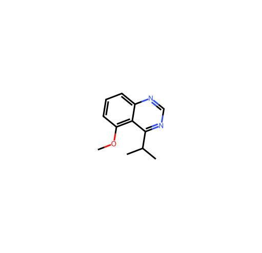 COc1cccc2ncnc(C(C)C)c12